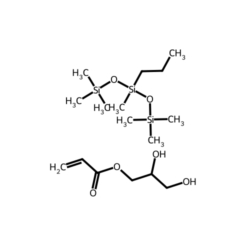 C=CC(=O)OCC(O)CO.CCC[Si](C)(O[Si](C)(C)C)O[Si](C)(C)C